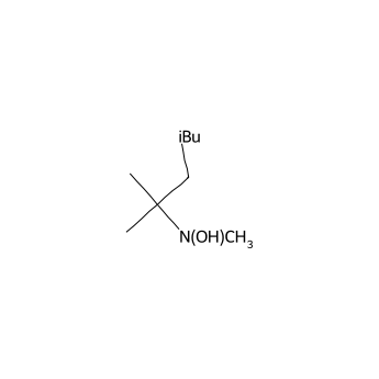 CCC(C)CC(C)(C)N(C)O